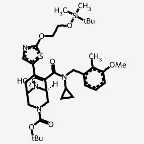 COc1cccc(CN(C(=O)C2=C(c3cnc(OCCO[Si](C)(C)C(C)(C)C)s3)CC3CN(C(=O)OC(C)(C)C)C[C@H]2N3C(=O)O)C2CC2)c1C